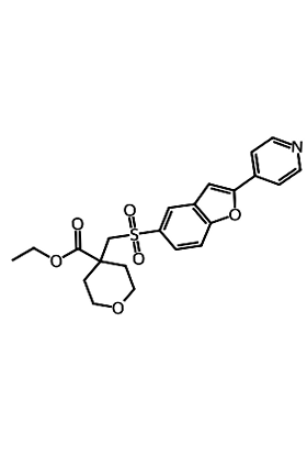 CCOC(=O)C1(CS(=O)(=O)c2ccc3oc(-c4ccncc4)cc3c2)CCOCC1